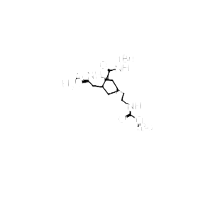 C=CCC1C[C@H](CCNC(=O)OC(C)(C)C)C[C@@]1(NC(C)=O)C(=O)NC(C)(C)C